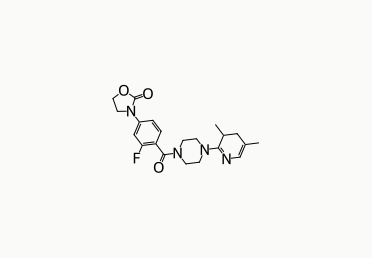 CC1=CN=C(N2CCN(C(=O)c3ccc(N4CCOC4=O)cc3F)CC2)C(C)C1